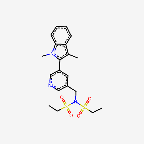 CCS(=O)(=O)N(Cc1cncc(-c2c(C)c3ccccc3n2C)c1)S(=O)(=O)CC